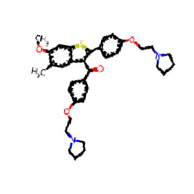 COc1cc2sc(-c3ccc(OCCN4CCCC4)cc3)c(C(=O)c3ccc(OCCN4CCCC4)cc3)c2cc1C